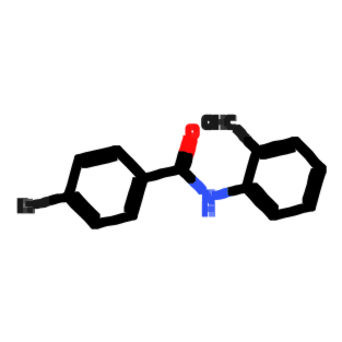 CCc1ccc(C(=O)Nc2ccccc2C=O)cc1